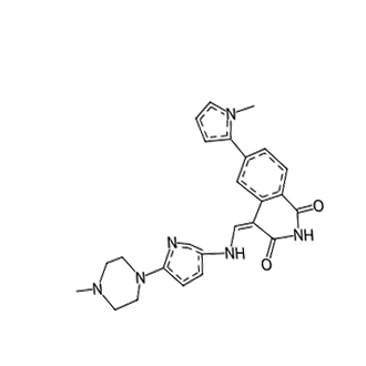 CN1CCN(c2ccc(N/C=C3\C(=O)NC(=O)c4ccc(-c5cccn5C)cc43)cn2)CC1